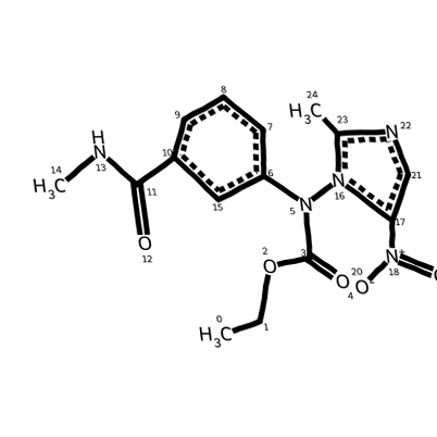 CCOC(=O)N(c1cccc(C(=O)NC)c1)n1c([N+](=O)[O-])cnc1C